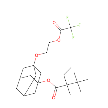 CCC(C)(C(=O)OC12CC3CC(CC(OCCOC(=O)C(F)(F)F)(C3)C1)C2)C(C)(C)C